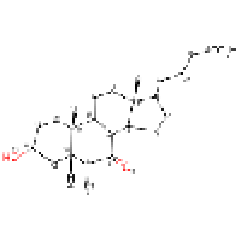 CC[C@H]1C(=O)C2C3CCC(CCCC(=O)O)[C@@]3(C)CCC2[C@@]2(C)CC[C@@H](O)C[C@@H]12